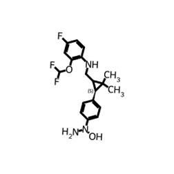 CC1(C)C(CNc2ccc(F)cc2OC(F)F)[C@@H]1c1ccc(N(N)O)cc1